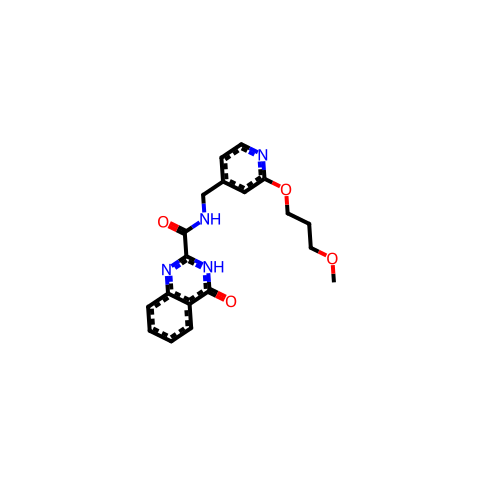 COCCCOc1cc(CNC(=O)c2nc3ccccc3c(=O)[nH]2)ccn1